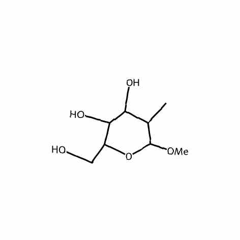 COC1OC(CO)C(O)C(O)C1C